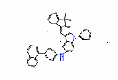 CC1(C)c2ccccc2-c2cc3c4cc(Nc5ccc(-c6cccc7ccccc67)cc5)ccc4n(-c4ccccc4)c3cc21